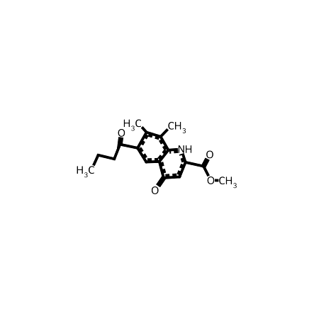 CCCC(=O)c1cc2c(=O)cc(C(=O)OC)[nH]c2c(C)c1C